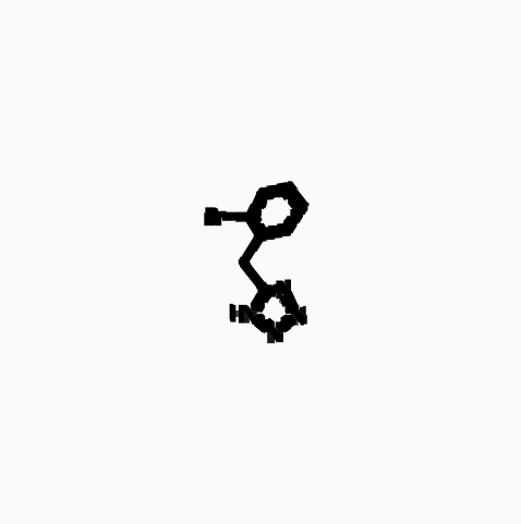 Brc1ccccc1Cc1nnn[nH]1